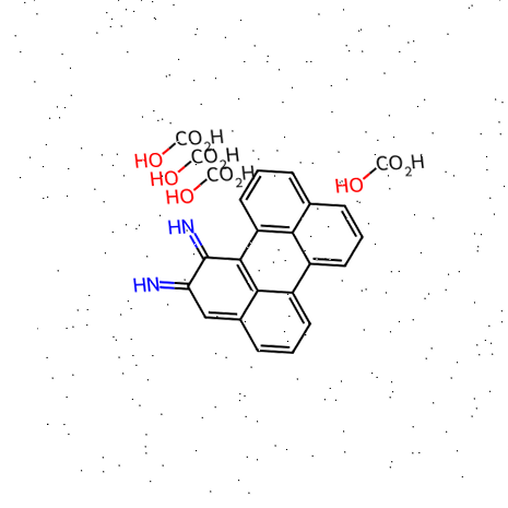 N=c1cc2cccc3c4cccc5cccc(c(c1=N)c23)c54.O=C(O)O.O=C(O)O.O=C(O)O.O=C(O)O